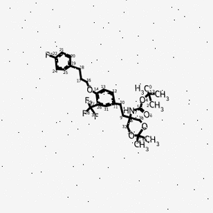 CC(C)(C)OC(=O)NC1(CCc2ccc(OCCCc3ccc(F)cc3)c(C(F)(F)F)c2)COC(C)(C)OC1